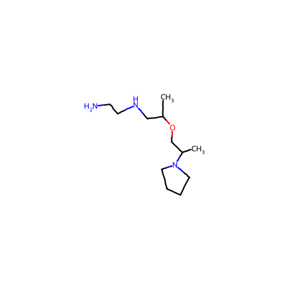 CC(CNCCN)OCC(C)N1CCCC1